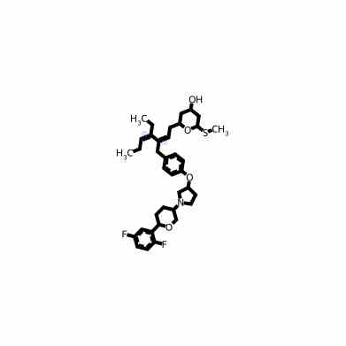 CC/C=C(CC)\C(=C/CC1CC(O)CC(SC)O1)Cc1ccc(OC2CCN(C3CCC(c4cc(F)ccc4F)OC3)C2)cc1